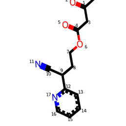 CC(=O)CC(=O)OCCC(C#N)c1ccccn1